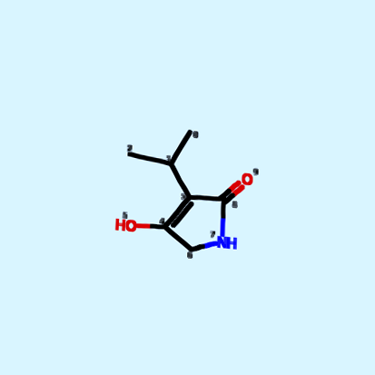 CC(C)C1=C(O)CNC1=O